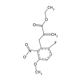 C=C(Cc1c(F)ccc(OC)c1[N+](=O)[O-])C(=O)OCC